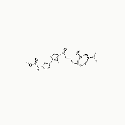 COC(=O)N[C@@H]1CC[C@H](c2ccc(C(=O)CCCc3ccc(C(C)C)cc3F)n2C)C1